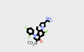 C=Cc1c(N2CCC(C(C)N)C2)c(F)cc2c(=O)c(C(=O)O)cn(-c3ccc(F)cc3F)c12